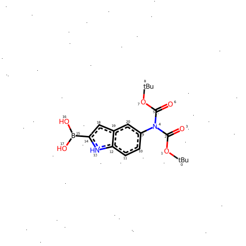 CC(C)(C)OC(=O)N(C(=O)OC(C)(C)C)c1ccc2[nH]c(B(O)O)cc2c1